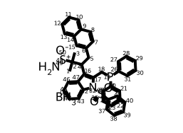 B.CC(C)(C(Cc1ccc2ccccc2c1)c1c(CP(c2ccccc2)c2ccccc2)n(S(=O)(=O)c2ccccc2)c2ccccc12)[S+](N)[O-]